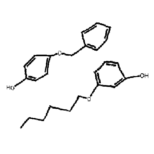 CCCCCCOc1cccc(O)c1.Oc1ccc(OCc2ccccc2)cc1